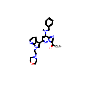 COC(=O)c1cnc2c(N(C)Cc3ccccc3)cc(-c3cn(CCN4CCOCC4)c4ncccc34)nn12